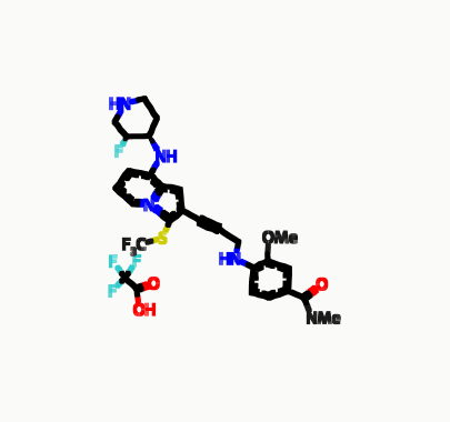 CNC(=O)c1ccc(NCC#Cc2cc3c(N[C@@H]4CCNC[C@@H]4F)cccn3c2SC(F)(F)F)c(OC)c1.O=C(O)C(F)(F)F